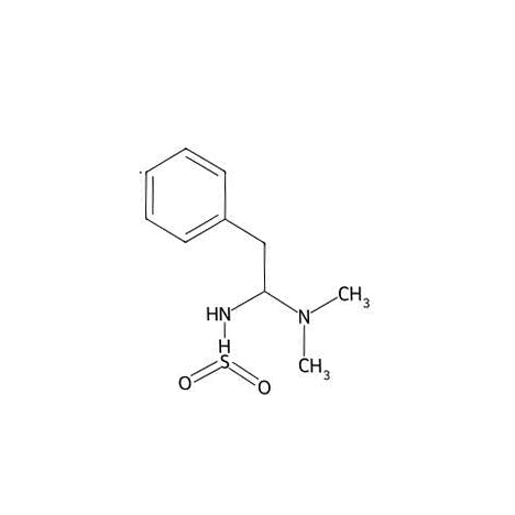 CN(C)C(Cc1cc[c]cc1)N[SH](=O)=O